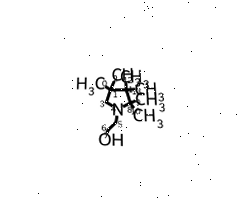 CC1(C)CN(CCO)C(C)(C)C1(C)C